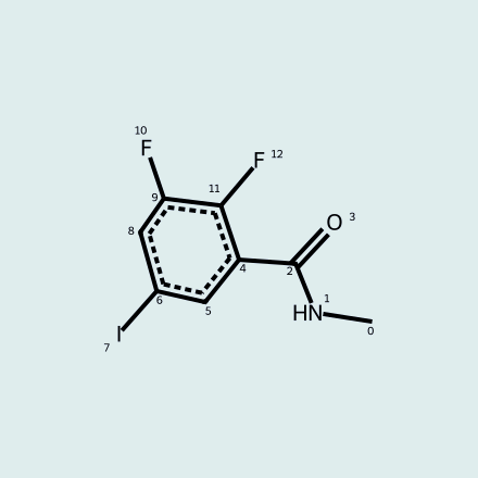 CNC(=O)c1cc(I)cc(F)c1F